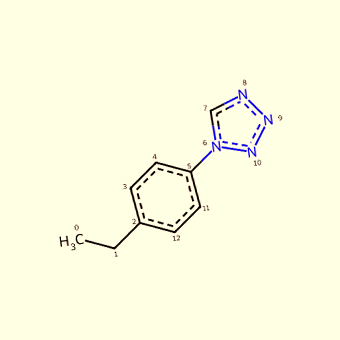 CCc1ccc(-n2cnnn2)cc1